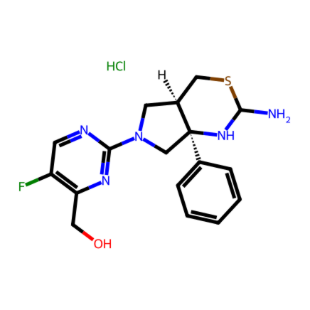 Cl.NC1N[C@@]2(c3ccccc3)CN(c3ncc(F)c(CO)n3)C[C@H]2CS1